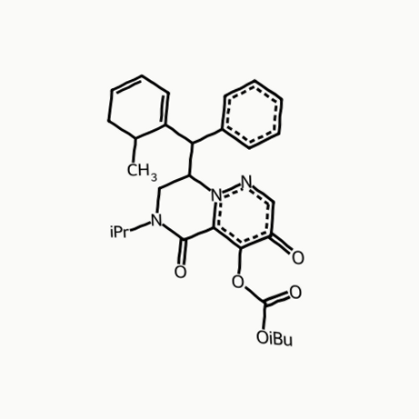 CC(C)COC(=O)Oc1c2n(ncc1=O)C(C(C1=CC=CCC1C)c1ccccc1)CN(C(C)C)C2=O